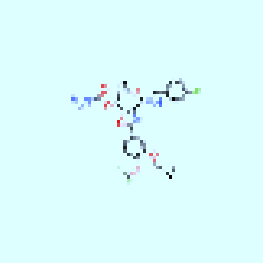 CC(OC(N)=O)c1oc(-c2ccc(OC(F)F)c(OCC3CC3)c2)nc1C(=O)NCc1ccc(F)cc1